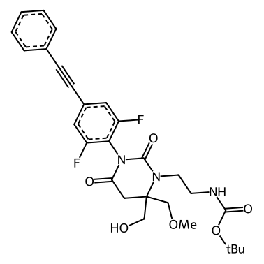 COCC1(CO)CC(=O)N(c2c(F)cc(C#Cc3ccccc3)cc2F)C(=O)N1CCNC(=O)OC(C)(C)C